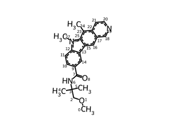 COCC(C)(C)NC(=O)c1ccc2c(c1)c1cc3cnccc3c(C)c1n2C